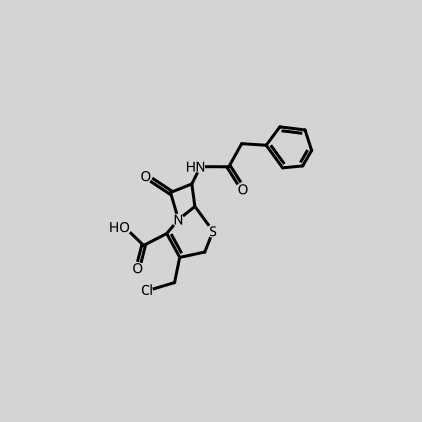 O=C(Cc1ccccc1)NC1C(=O)N2C(C(=O)O)=C(CCl)CSC12